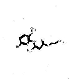 CCCOC(=O)/C=C(/C)Nc1cc(Br)ccc1OC